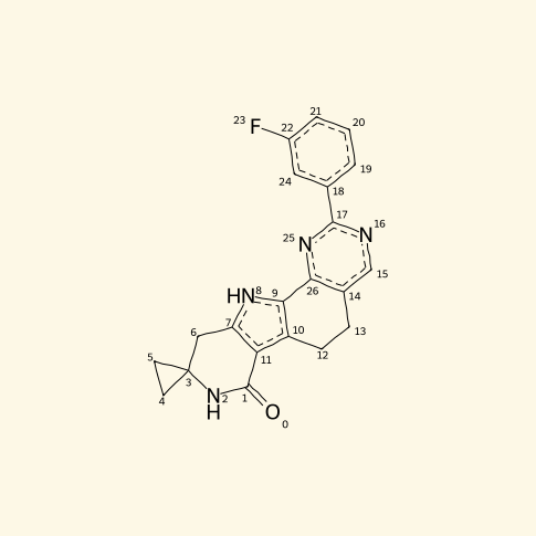 O=C1NC2(CC2)Cc2[nH]c3c(c21)CCc1cnc(-c2cccc(F)c2)nc1-3